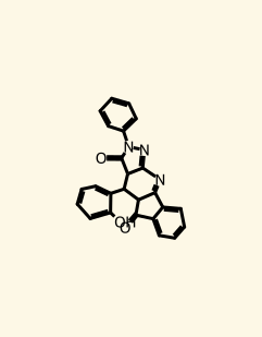 O=C1c2ccccc2C2=NC3=NN(c4ccccc4)C(=O)C3C(c3ccccc3O)C12